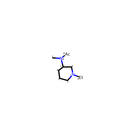 CCN1CCCC(N(C)C(C)=O)C1